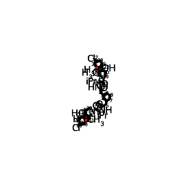 CC(C)[C@@H](NC(=O)Cc1cccc(CC(=O)N[C@@H](C(=O)N2CC[C@](O)(c3ccc(Cl)cc3)C(C)(C)C2)C(C)C)c1)C(=O)N1CC[C@](O)(c2ccc(Cl)cc2)C(C)(C)C1